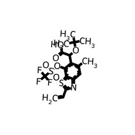 C=Cc1nc2cc(C)c(C(OC(C)(C)C)C(=O)O)c(OS(=O)(=O)C(F)(F)F)c2s1